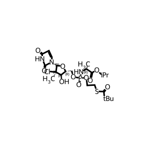 CC(C)OC(=O)[C@@H](C)NP(=O)(OCCSC(=O)C(C)(C)C)OC[C@H]1O[C@@H](n2ccc(=O)[nH]c2=O)[C@](C)(Cl)[C@@H]1O